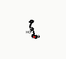 COc1ccc2nccc(CCC[C@@H]3CCN(CC#Cc4ccccc4C)C[C@@H]3CO)c2c1